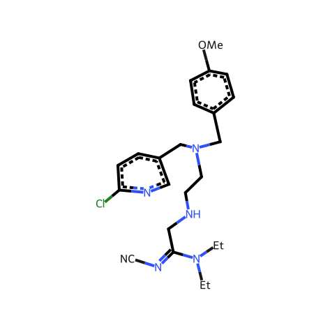 CCN(CC)/C(CNCCN(Cc1ccc(OC)cc1)Cc1ccc(Cl)nc1)=N/C#N